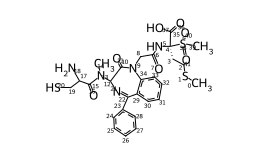 CSCC[C@](NC(=O)CN1C(=O)C(N(C)C(=O)C(N)CS)N=C(c2ccccc2)c2ccccc21)(C(=O)O)S(C)(=O)=O